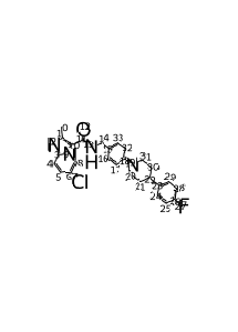 Cc1nc2ccc(Cl)cn2c1C(=O)NCc1ccc(N2CCC(c3ccc(F)cc3)CC2)cc1